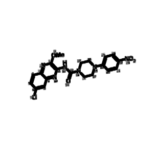 COc1nc2ccc(Cl)cc2nc1NC(=O)N1CCN(c2ccc([N+](=O)[O-])cc2)CC1